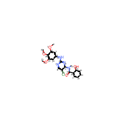 COc1cc(Nc2ncc(Cl)c(N(C)C(=O)c3ccccc3O)n2)cc(OC)c1OC